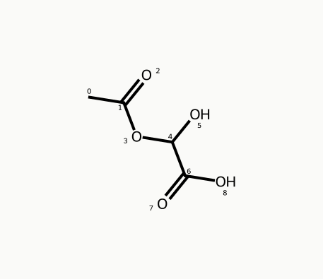 CC(=O)OC(O)C(=O)O